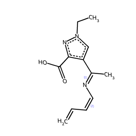 C=C/C=C\N=C(/C)c1cn(CC)nc1C(=O)O